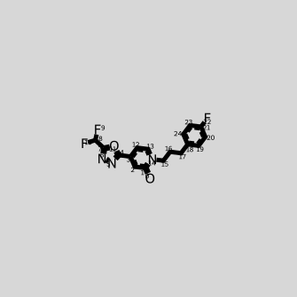 O=c1cc(-c2nnc(C(F)F)o2)ccn1CCCc1ccc(F)cc1